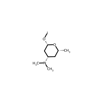 C[C@@H]1C[C@H](N(C)C)C[C@H](OI)O1